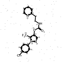 O=C(NCCc1ccccn1)Oc1cnn(-c2ccc(Cl)cc2)c1C(F)(F)F